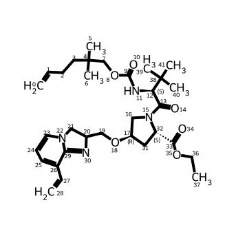 C=CCCC(C)(C)COC(=O)N[C@H](C(=O)N1C[C@H](OCC2CN3C=CC=C(C=C)C3=N2)C[C@H]1C(=O)OCC)C(C)(C)C